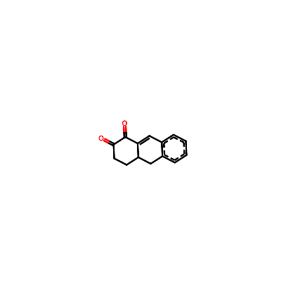 O=C1CCC2Cc3ccccc3C=C2C1=O